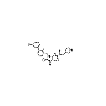 Cc1c(Cn2c(=O)[nH]c3cnc(NCC4CCNC4)nc32)cccc1-c1cccc(F)c1